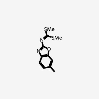 CSC(=Nc1nc2ccc(C)cc2o1)SC